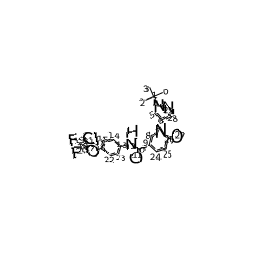 CC(C)(C)n1cc(-n2cc(C(=O)Nc3ccc(OC(F)(F)Cl)cc3)ccc2=O)cn1